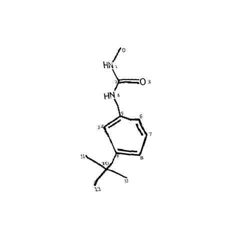 CNC(=O)Nc1cccc(C(C)(C)C)c1